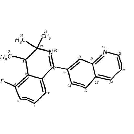 CC1c2c(F)cccc2C(c2ccc3cccnc3c2)=NC1(C)C